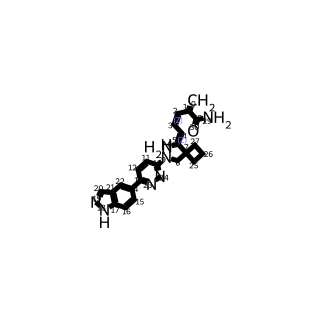 C=C(/C=C\C=C(/N)C1(CNc2ccc(-c3ccc4[nH]ncc4c3)nn2)CCC1)C(N)=O